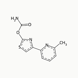 Cc1cccc(-c2csc(OC(N)=O)n2)n1